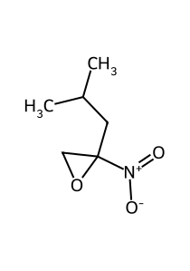 CC(C)CC1([N+](=O)[O-])CO1